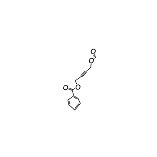 O=COCC#CCOC(=O)c1ccccc1